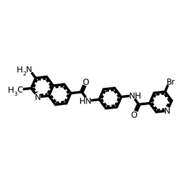 Cc1nc2ccc(C(=O)Nc3ccc(NC(=O)c4cncc(Br)c4)cc3)cc2cc1N